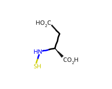 O=C(O)C[C@H](NS)C(=O)O